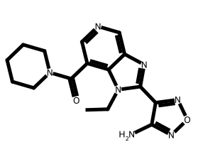 CCn1c(-c2nonc2N)nc2cncc(C(=O)N3CCCCC3)c21